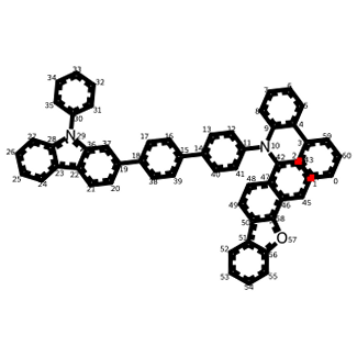 c1ccc(-c2ccccc2N(c2ccc(-c3ccc(-c4ccc5c6ccccc6n(-c6ccccc6)c5c4)cc3)cc2)c2cccc3c2ccc2c4ccccc4oc32)cc1